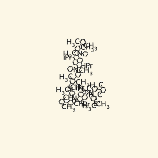 CC1=CC=CC(C)(C)C1c1ccc(C)c(N(c2ccccc2)c2cc(C(C)C)c3ccc4c(N(c5ccccc5)c5cc(-c6c(C)cc(C[Si](C)(C)c7ccc(N(c8cc(-c9c(C)cccc9C)ccc8C)c8cc(C(C)C)c9ccc%10c(N(c%11ccc([S+](C)C)cc%11)c%11cc(-c%12c(C)cccc%12C)ccc%11C)cc(C(C)C)c%11ccc8c9c%11%10)cc7)cc6C)ccc5C)cc(C(C)C)c5ccc2c3c54)c1